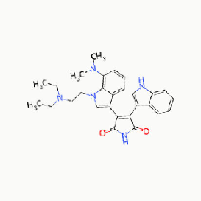 CCN(CC)CCn1cc(C2=C(c3c[nH]c4ccccc34)C(=O)NC2=O)c2cccc(N(C)C)c21